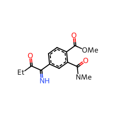 CCC(=O)C(=N)c1ccc(C(=O)OC)c(C(=O)NC)c1